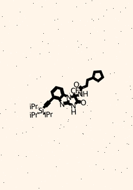 CC(C)[Si](C#Cc1cccc2c1nc1n2C(NC(=O)CCC2CCCC2)(C(F)(F)F)C(=O)N1)(C(C)C)C(C)C